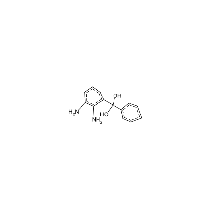 Nc1cccc(C(O)(O)c2ccccc2)c1N